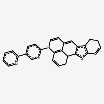 C1=Cc2sc3c(c2CC1)C=C1C=CN(c2ccc(-c4ccccn4)cn2)C2=C1C3CC=C2